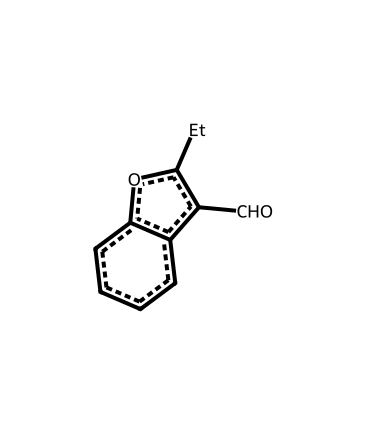 CCc1oc2ccccc2c1C=O